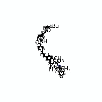 CC1c2ccc(CCCN3CCC(C(=O)Nc4ncc(SCc5ncc(C(C)(C)C)o5)s4)CC3)cc2CCN1C(=O)/C(C#N)=C/C(C)(C)N1CCOCC1